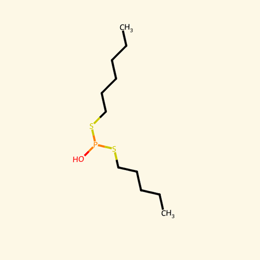 CCCCCCSP(O)SCCCCC